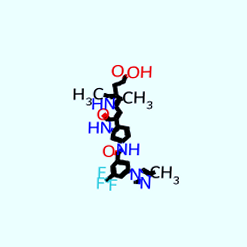 Cc1cn(-c2cc(C(=O)Nc3ccc4c(c3)NC(=O)/C4=C\c3[nH]c(C)c(CCC(=O)O)c3C)cc(C(F)(F)F)c2)cn1